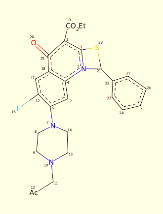 CCOC(=O)c1c2n(c3cc(N4CCN(CC(C)=O)CC4)c(F)cc3c1=O)C(c1ccccc1)S2